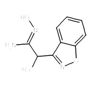 CC(C(N)=NO)c1noc2ccccc12